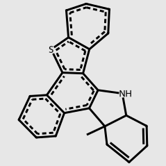 CC12C=CC=CC1Nc1c2c2ccccc2c2sc3ccccc3c12